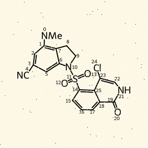 CNc1cc(C#N)cc2c1CCN2S(=O)(=O)c1cccc2c(=O)[nH]cc(Cl)c12